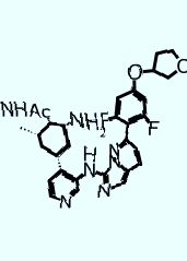 CC(=O)N[C@@H]1[C@H](N)C[C@H](c2ccncc2Nc2ncc3ccc(-c4c(F)cc(OC5CCOC5)cc4F)nn23)C[C@@H]1C